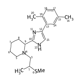 CSC(C)CN1CCCCC1c1nc(-c2cc(C)ccc2C)c[nH]1